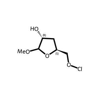 COC1O[C@H](COCl)C[C@H]1O